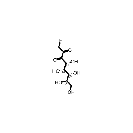 O=C(CF)C(=O)[C@H](O)[C@@H](O)[C@H](O)[C@H](O)CO